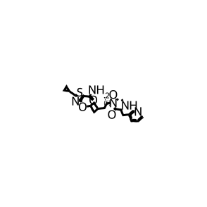 CNC(Cc1cccnc1)C(=O)N(C=O)[C@@H](C)CC1CC(Oc2nc(C3CC3)sc2C(N)=O)C1